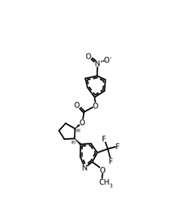 COc1ncc([C@H]2CCC[C@H]2OC(=O)Oc2ccc([N+](=O)[O-])cc2)cc1C(F)(F)F